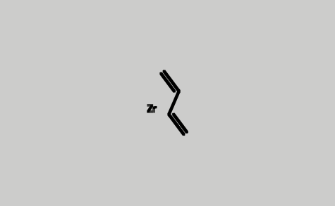 C=CC=C.[Zr]